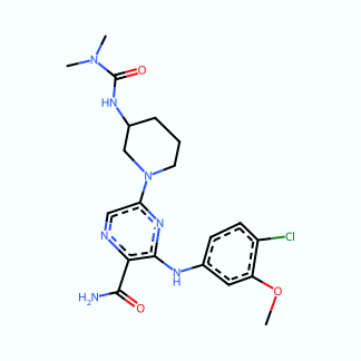 COc1cc(Nc2nc(N3CCCC(NC(=O)N(C)C)C3)cnc2C(N)=O)ccc1Cl